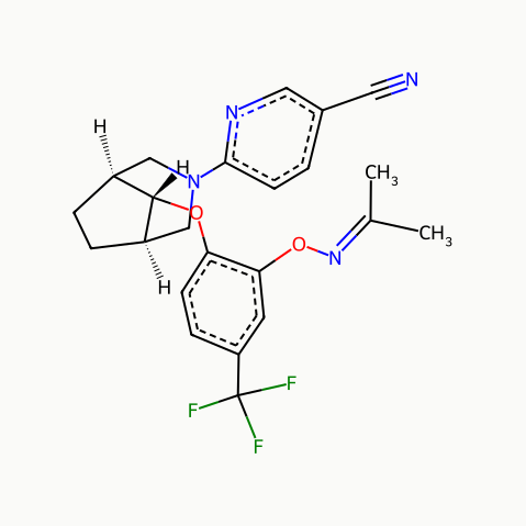 CC(C)=NOc1cc(C(F)(F)F)ccc1O[C@@H]1[C@@H]2CC[C@H]1CN(c1ccc(C#N)cn1)C2